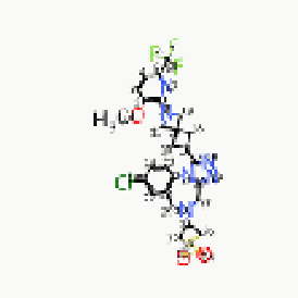 COc1ccc(C(F)(F)F)nc1N1CC2(CC(c3nnc4n3-c3ccc(Cl)cc3CN(C3CS(=O)(=O)C3)C4)C2)C1